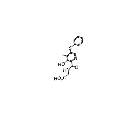 Cc1c(Sc2ccccc2)cnc(C(=O)NCC(=O)O)c1O